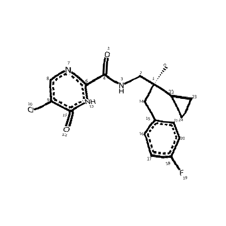 C[C@@](CNC(=O)c1ncc(Cl)c(=O)[nH]1)(Cc1ccc(F)cc1)C1CC1